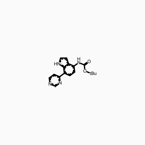 CC(C)(C)OC(=O)Nc1ccc(-c2ccn[c]n2)c2[nH]ccc12